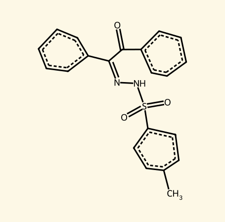 Cc1ccc(S(=O)(=O)NN=C(C(=O)c2ccccc2)c2ccccc2)cc1